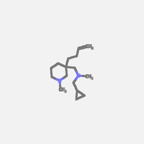 C=CCCC1(CN(C)CC2CC2)CCCN(C)C1